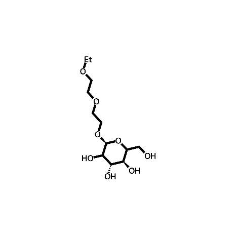 CCOCCOCCO[C@H]1OC(CO)[C@@H](O)[C@H](O)C1O